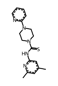 Cc1cc(C)nc(NC(=S)N2CCN(c3ccccn3)CC2)c1